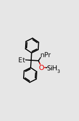 CCCC(O[SiH3])C(CC)(c1ccccc1)c1ccccc1